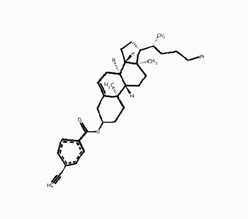 C#Cc1ccc(C(=O)OC2CC[C@@]3(C)C(=CC[C@H]4[C@@H]5CC[C@H]([C@H](C)CCCC(C)C)[C@@]5(C)CC[C@@H]43)C2)cc1